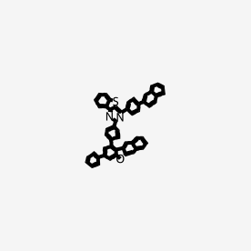 c1ccc(-c2cc(-c3ccc(-c4nc(-c5ccc(-c6ccc7ccccc7c6)cc5)c5sc6ccccc6c5n4)cc3)c3c(c2)oc2cc4ccccc4cc23)cc1